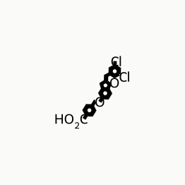 O=C(O)c1ccc(COc2ccc3c(c2)CC(=Cc2cc(Cl)cc(Cl)c2)C3=O)cc1